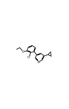 CCOc1cccc(-c2cncc(C3[CH]C3)c2)c1Cl